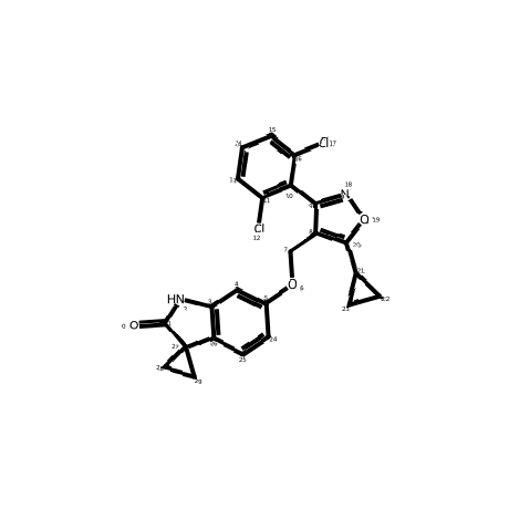 O=C1Nc2cc(OCc3c(-c4c(Cl)cccc4Cl)noc3C3CC3)ccc2C12CC2